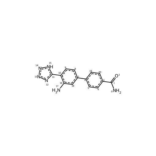 NC(=O)c1ccc(-c2ccc(-c3nnn[nH]3)c(N)c2)cc1